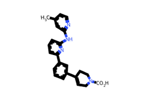 Cc1ccnc(Nc2cccc(-c3cccc(C4=CCN(C(=O)O)CC4)c3)n2)c1